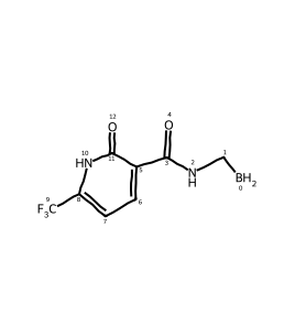 BCNC(=O)c1ccc(C(F)(F)F)[nH]c1=O